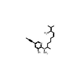 CC#Cc1cnc(N(N)C(C)CCC/C=C\C(N)=C(C)C)c(C(C)C)c1